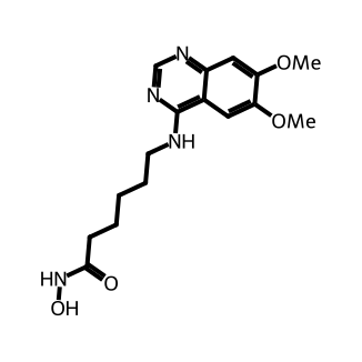 COc1cc2ncnc(NCCCCCC(=O)NO)c2cc1OC